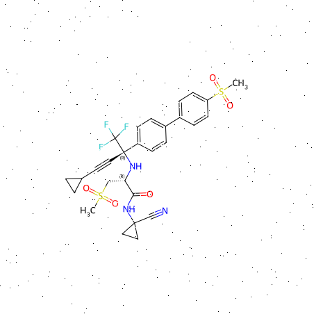 CS(=O)(=O)C[C@H](N[C@@](C#CC1CC1)(c1ccc(-c2ccc(S(C)(=O)=O)cc2)cc1)C(F)(F)F)C(=O)NC1(C#N)CC1